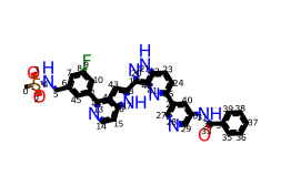 CS(=O)(=O)NCc1cc(F)cc(-c2nccc3[nH]c(-c4n[nH]c5ccc(-c6cncc(NC(=O)c7ccccc7)c6)nc45)cc23)c1